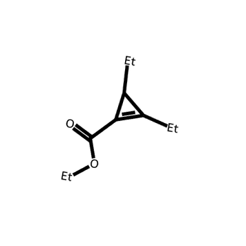 CCOC(=O)C1=C(CC)C1CC